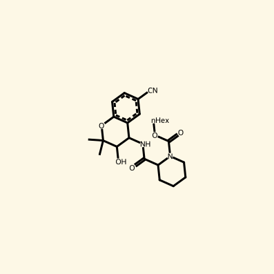 CCCCCCOC(=O)N1CCCCC1C(=O)NC1c2cc(C#N)ccc2OC(C)(C)C1O